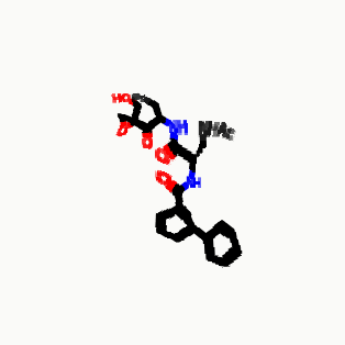 CC(=O)NC[C@H](NC(=O)c1cccc(-c2ccccc2)c1)C(=O)NC(CC(C)C)C(=O)C1(CO)CO1